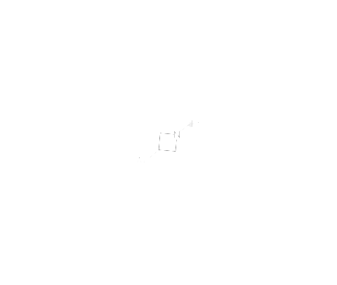 CC(=O)C1CN(C(C)C)C1